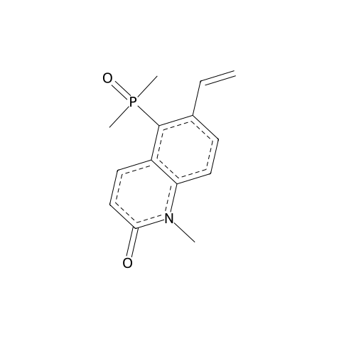 C=Cc1ccc2c(ccc(=O)n2C)c1P(C)(C)=O